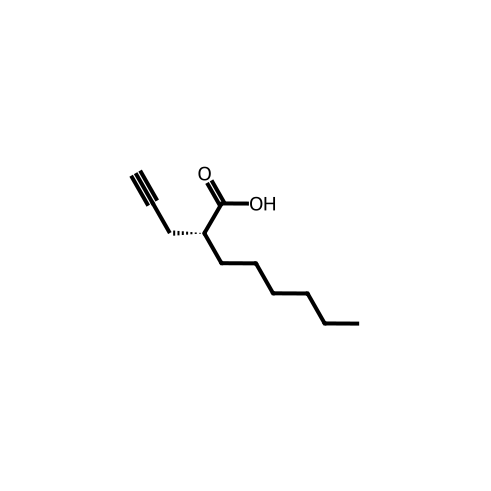 C#CC[C@@H](CCCCCC)C(=O)O